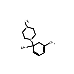 [CH2]C1=CC=CC(OC)(N2CCN(C)CC2)C1